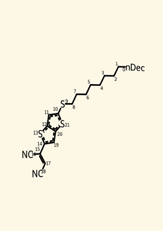 CCCCCCCCCCCCCCCCCCSc1cc2sc(C(C#N)=CC#N)cc2s1